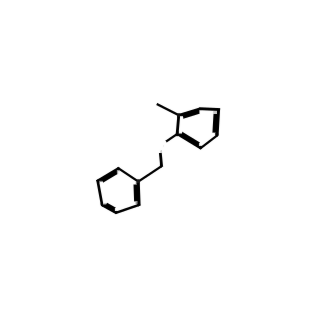 Cc1ccccc1OCc1[c]cccc1